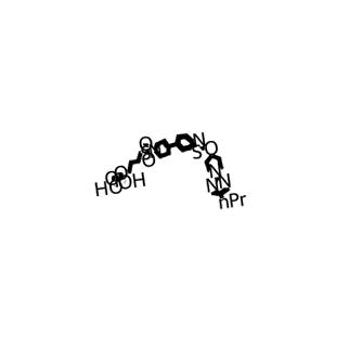 CCCc1cnc(N2CCC(Oc3nc4ccc(C5=CCN(S(=O)(=O)CCCCOP(=O)(O)O)CC5)cc4s3)CC2)nc1